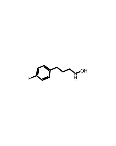 ONCCCc1ccc(F)cc1